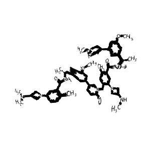 CNC1CN(c2cc(C(=O)N[C@H](C)c3cc(OC)cc(-c4cnn(C)c4)c3)c(C)cc2Cn2cc(-c3cc(OC)cc([C@@H](C)NC(=O)c4cc(N5CC(N(C)C)C5)ccc4C)c3)ccc2=O)C1